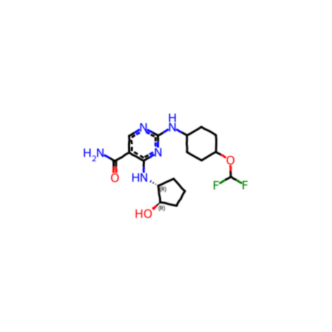 NC(=O)c1cnc(NC2CCC(OC(F)F)CC2)nc1N[C@@H]1CCC[C@H]1O